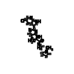 C[C@H](Nc1nc(-c2c[nH]c3ncc(Cl)cc23)ncc1F)C(=O)NCC[C@H]1CCCN1C